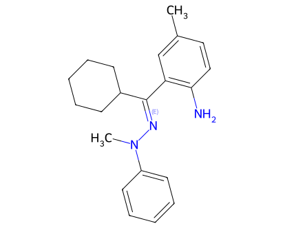 Cc1ccc(N)c(/C(=N/N(C)c2ccccc2)C2CCCCC2)c1